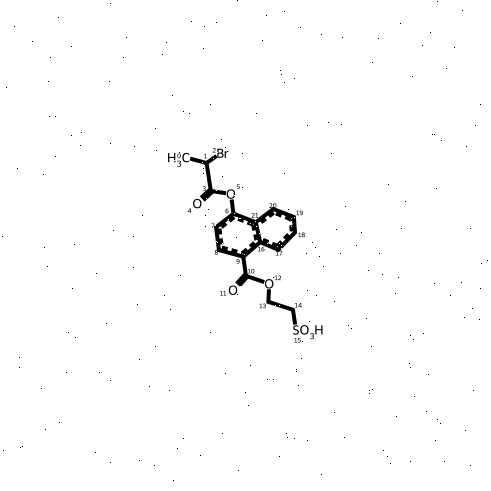 CC(Br)C(=O)Oc1ccc(C(=O)OCCS(=O)(=O)O)c2ccccc12